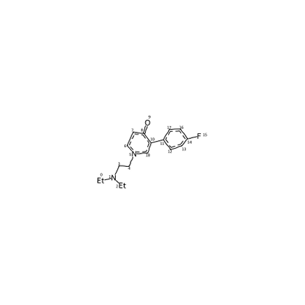 CCN(CC)CCn1ccc(=O)c(-c2ccc(F)cc2)c1